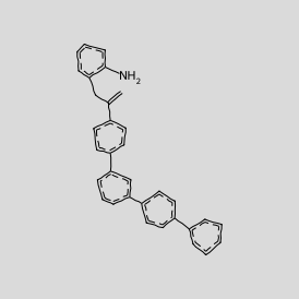 C=C(Cc1ccccc1N)c1ccc(-c2cccc(-c3ccc(-c4ccccc4)cc3)c2)cc1